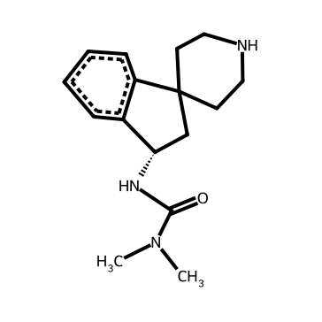 CN(C)C(=O)N[C@H]1CC2(CCNCC2)c2ccccc21